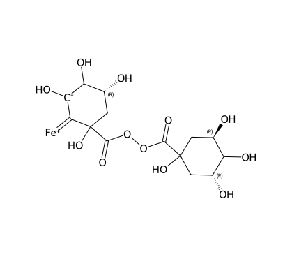 O=C(OOC(=O)C1(O)C[C@@H](O)C(O)[C-](O)[C]1=[Fe+])C1(O)C[C@@H](O)C(O)[C@H](O)C1